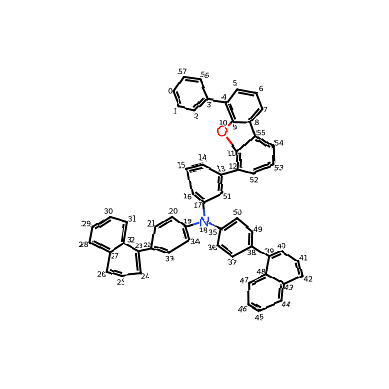 c1ccc(-c2cccc3c2oc2c(-c4cccc(N(c5ccc(-c6cccc7ccccc67)cc5)c5ccc(-c6cccc7ccccc67)cc5)c4)cccc23)cc1